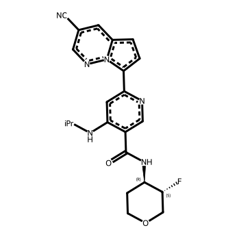 CC(C)Nc1cc(-c2ccc3cc(C#N)cnn23)ncc1C(=O)N[C@@H]1CCOC[C@H]1F